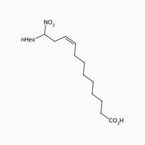 CCCCCCC(C/C=C\CCCCCCCC(=O)O)[N+](=O)[O-]